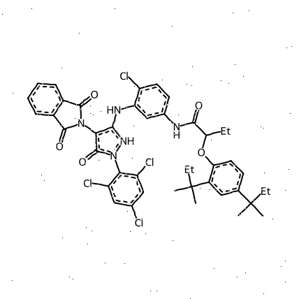 CCC(Oc1ccc(C(C)(C)CC)cc1C(C)(C)CC)C(=O)Nc1ccc(Cl)c(Nc2[nH]n(-c3c(Cl)cc(Cl)cc3Cl)c(=O)c2N2C(=O)c3ccccc3C2=O)c1